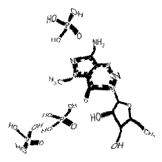 CC1OC(n2nnc3c(N)nn(C)c3c2=O)C(O)C1O.O=P(O)(O)O.O=P(O)(O)O.O=P(O)(O)O